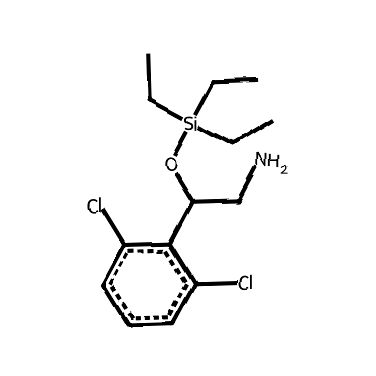 CC[Si](CC)(CC)OC(CN)c1c(Cl)cccc1Cl